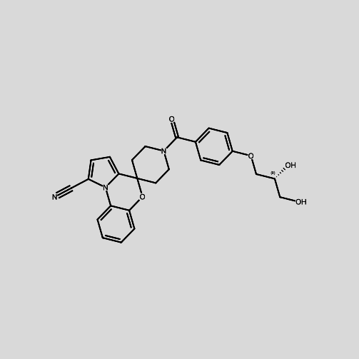 N#Cc1ccc2n1-c1ccccc1OC21CCN(C(=O)c2ccc(OC[C@H](O)CO)cc2)CC1